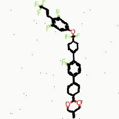 CC1COC(C2CCC(c3ccc(C4CCC(C(F)(F)Oc5cc(F)c(/C=C/C(F)(F)F)c(F)c5)CC4)c(F)c3)CC2)OC1